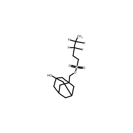 CC(F)(F)C(F)(F)CCS(=O)(=O)OCC12CC3CC(CC(O)(C3)C1)C2